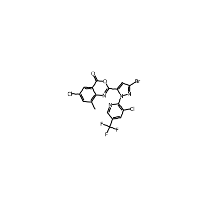 Cc1cc(Cl)cc2c(=O)oc(-c3cc(Br)nn3-c3ncc(C(F)(F)F)cc3Cl)nc12